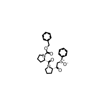 O=C(C[S@+]([O-])c1ccccc1)[C@@H]1CCCN1C(=O)[C@@H]1CCCN1C(=O)OCc1ccccc1